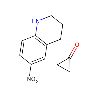 O=C1CC1.O=[N+]([O-])c1ccc2c(c1)CCCN2